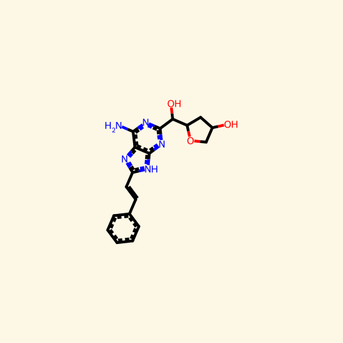 Nc1nc(C(O)C2CC(O)CO2)nc2[nH]c(/C=C/c3ccccc3)nc12